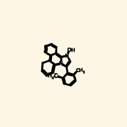 Cc1cccc(C)c1C1=CN(O)C2=c3ccccc3=C3CC=CC=C3N12